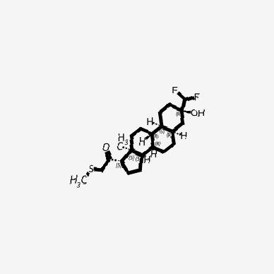 CSCC(=O)[C@H]1CC[C@H]2[C@@H]3CC[C@@H]4C[C@@](O)(C(F)F)CC[C@@H]4[C@H]3CC[C@]12C